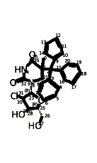 CC1(C(c2ccccc2)(c2ccccc2)c2ccccc2)CN([C@@H]2O[C@H](CO)[C@@H](O)C2Cl)C(=O)NC1=O